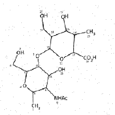 CC(=O)NC1C(C)OC(CO)C(OC2OC(C(=O)O)C(C)C(O)C2CO)C1O